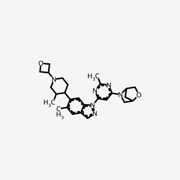 Cc1nc(N2CC3CC2CO3)cc(-n2ncc3cc(C)c(C4CCN(C5COC5)CC4C)cc32)n1